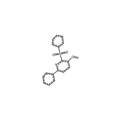 COc1c[c]c(-c2ccccc2)nc1S(=O)(=O)c1ccccc1